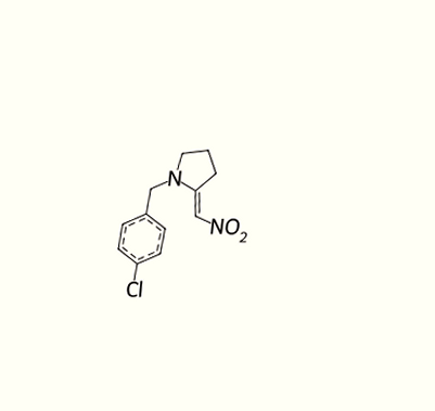 O=[N+]([O-])C=C1CCCN1Cc1ccc(Cl)cc1